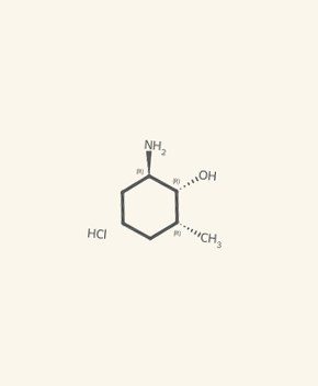 C[C@@H]1CCC[C@@H](N)[C@@H]1O.Cl